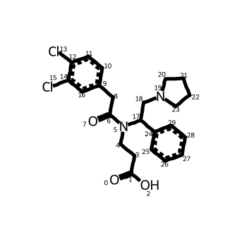 O=C(O)CCN(C(=O)Cc1ccc(Cl)c(Cl)c1)C(CN1CCCC1)c1ccccc1